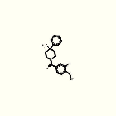 CC(C)Oc1ccc(C(=O)N2CCC(C)(c3ccccc3)CC2)cc1F